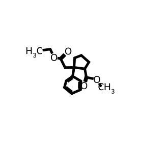 CCOC(=O)CC1(c2ccccc2)CCCC1C(=O)OC